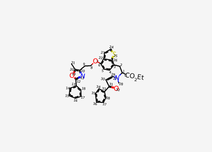 CCOC(=O)C(Cc1ccc(OCCc2nc(-c3ccccc3)oc2C)c2ccsc12)N(C)/C=C\C(=O)c1ccccc1